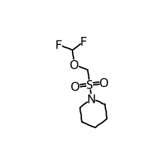 O=S(=O)(COC(F)F)N1CCCCC1